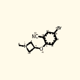 CN1CC(Oc2ccc(Br)cc2C#N)C1